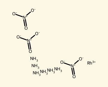 N.N.N.N.N.N.O=[N+]([O-])[O-].O=[N+]([O-])[O-].O=[N+]([O-])[O-].[Rh+3]